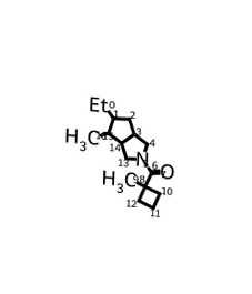 CCC1CC2CN(C(=O)C3(C)CCC3)CC2C1C